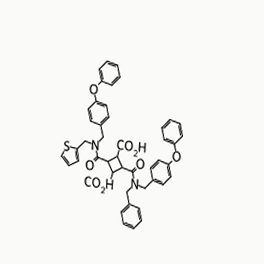 O=C(O)C1C(C(=O)N(Cc2ccccc2)Cc2ccc(Oc3ccccc3)cc2)C(C(=O)O)C1C(=O)N(Cc1ccc(Oc2ccccc2)cc1)Cc1cccs1